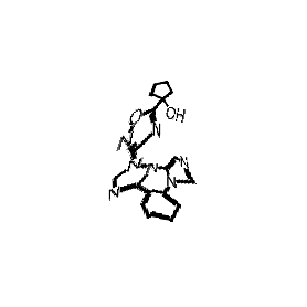 OC1(c2nc(N3CN=C4c5ccccc5-n5cncc5N43)no2)CCCC1